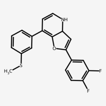 CSc1cccc(C2=C3OC(c4ccc(F)c(F)c4)=CC3NC=C2)c1